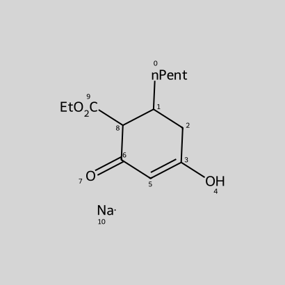 CCCCCC1CC(O)=CC(=O)C1C(=O)OCC.[Na]